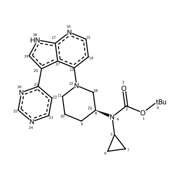 CC(C)(C)OC(=O)N(C1CC1)[C@H]1CCCN(c2ccnc3[nH]cc(-c4ccncn4)c23)C1